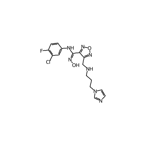 ON=C(Nc1ccc(F)c(Cl)c1)c1nonc1CNCCCn1ccnc1